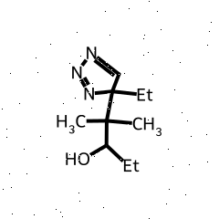 CCC(O)C(C)(C)C1(CC)C=NN=N1